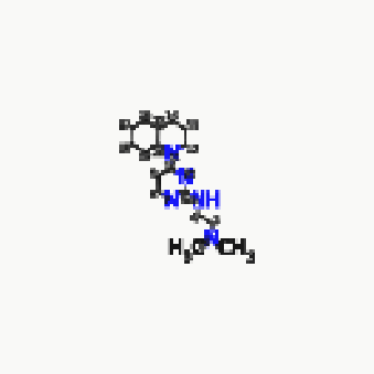 CN(C)CCNc1nccc(N2CCCC3CCCCC32)n1